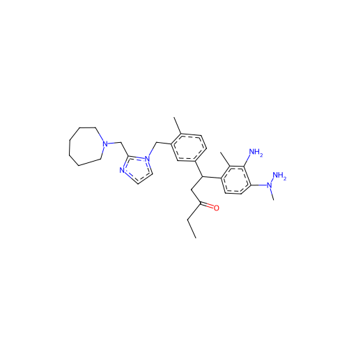 CCC(=O)CC(c1ccc(C)c(Cn2ccnc2CN2CCCCCC2)c1)c1ccc(N(C)N)c(N)c1C